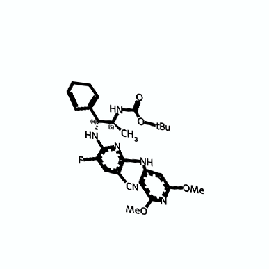 COc1cc(Nc2nc(N[C@H](C3=CCCC=C3)[C@H](C)NC(=O)OC(C)(C)C)c(F)cc2C#N)cc(OC)n1